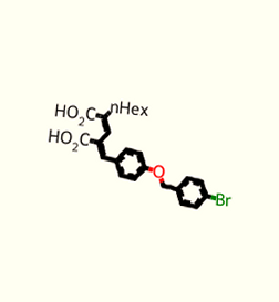 CCCCCCC(=CC(=Cc1ccc(OCc2ccc(Br)cc2)cc1)C(=O)O)C(=O)O